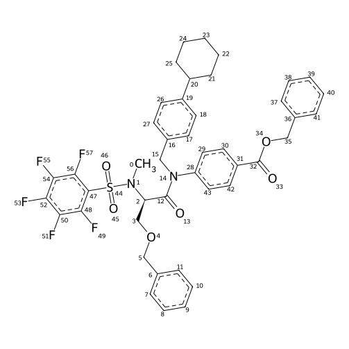 CN([C@H](COCc1ccccc1)C(=O)N(Cc1ccc(C2CCCCC2)cc1)c1ccc(C(=O)OCc2ccccc2)cc1)S(=O)(=O)c1c(F)c(F)c(F)c(F)c1F